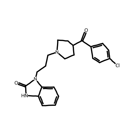 O=C(c1ccc(Cl)cc1)C1CCN(CCCn2c(=O)[nH]c3ccccc32)CC1